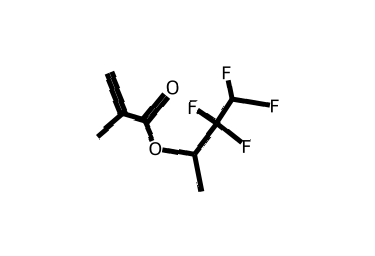 C=C(C)C(=O)OC(C)C(F)(F)C(F)F